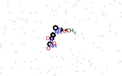 CCOC1CN([C@@H]2CCCC[C@@H]2Nc2ccc3c(c2)CN(C2CCC(=O)NC2=O)C3=O)C1